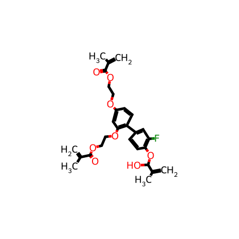 C=C(C)C(=O)OCCOc1ccc(-c2ccc(OC(O)C(=C)C)c(F)c2)c(OCCOC(=O)C(=C)C)c1